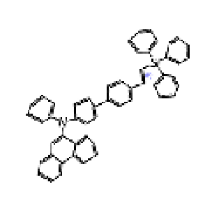 C(=C\[Si](c1ccccc1)(c1ccccc1)c1ccccc1)/c1ccc(-c2ccc(N(c3ccccc3)c3cc4ccccc4c4ccccc34)cc2)cc1